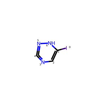 IC1=CN=C=NN1